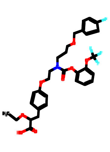 CCOC(Cc1ccc(OCCN(CCCOCc2ccc(F)cc2)C(=O)Oc2ccccc2OC(F)(F)F)cc1)C(=O)O